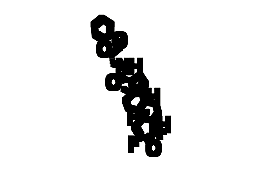 CN1C(=O)C(F)=C[C@]2(C)[C@H]3CC[C@]4(C)[C@@H](C(=O)NC[C@H]5COc6ccccc6O5)CC[C@H]4[C@@H]3CC[C@@H]12